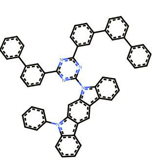 c1ccc(-c2cccc(-c3cccc(-c4nc(-c5cccc(-c6ccccc6)c5)nc(-n5c6ccccc6c6cc7c8ccccc8n(-c8ccccc8)c7cc65)n4)c3)c2)cc1